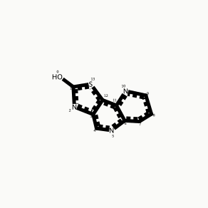 Oc1nc2cnc3cccnc3c2s1